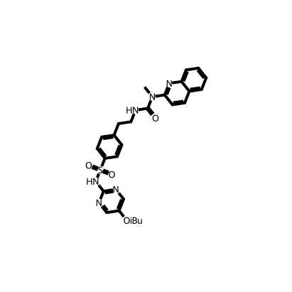 CC(C)COc1cnc(NS(=O)(=O)c2ccc(CCNC(=O)N(C)c3ccc4ccccc4n3)cc2)nc1